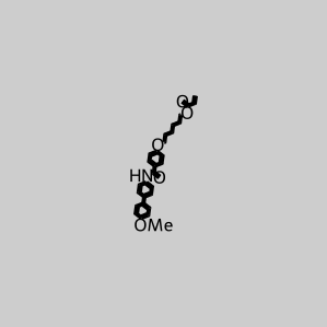 C=CC(=O)OCCCCCCOc1ccc(C(=O)Nc2ccc(-c3ccc(OC)cc3)cc2)cc1